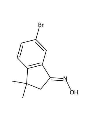 CC1(C)CC(=NO)c2cc(Br)ccc21